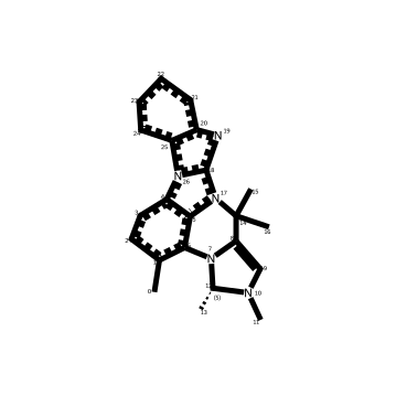 Cc1ccc2c3c1N1C(=CN(C)[C@@H]1C)C(C)(C)n3c1nc3ccccc3n21